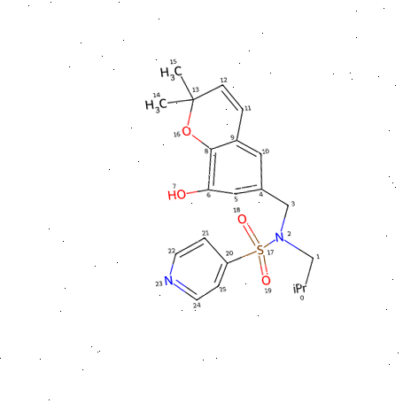 CC(C)CN(Cc1cc(O)c2c(c1)C=CC(C)(C)O2)S(=O)(=O)c1ccncc1